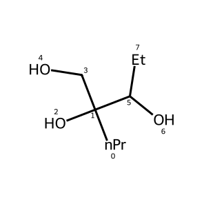 CCCC(O)(CO)C(O)CC